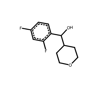 OC(c1ccc(F)cc1F)C1CCOCC1